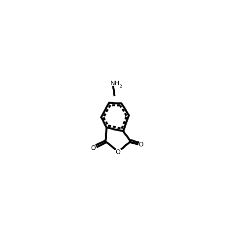 CN.O=C1OC(=O)c2ccccc21